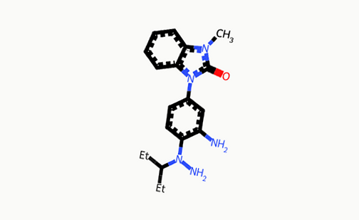 CCC(CC)N(N)c1ccc(-n2c(=O)n(C)c3ccccc32)cc1N